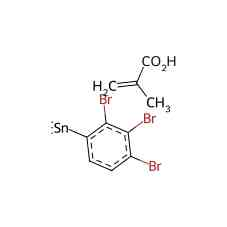 Brc1cc[c]([Sn])c(Br)c1Br.C=C(C)C(=O)O